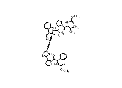 C/C=C(/c1ccccc1C)C(C)(C#CC#Cc1cnc([C@@H]2CCCN2C(=O)[C@H](NC(=O)OC)c2ccccc2)[nH]1)/N=C(\N)[C@@H]1CCCN1C(=O)[C@@H](NC(=O)OC)C(C)C